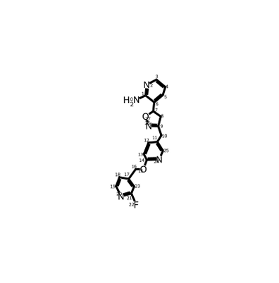 Nc1ncccc1C1CC(Cc2ccc(OCc3ccnc(F)c3)nc2)=NO1